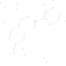 CN(C)c1ccc(/C=C\C(=O)c2ccccc2)cc1